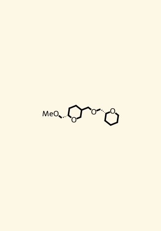 COC[C@@H]1CCC(COC[C@H]2CCCCO2)CO1